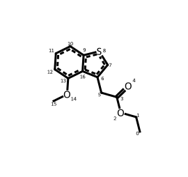 CCOC(=O)Cc1csc2cccc(OC)c12